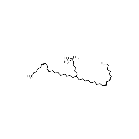 CCCCC/C=C\C/C=C\CCCCCCCCC(CCCCCCCC/C=C\C/C=C\CCCCC)SSCCC[N+](C)(C)C